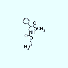 CCCOC(=O)NCC(C(=O)OC)c1ccccc1